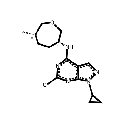 Clc1nc(N[C@@H]2CC[C@H](I)COC2)c2cnn(C3CC3)c2n1